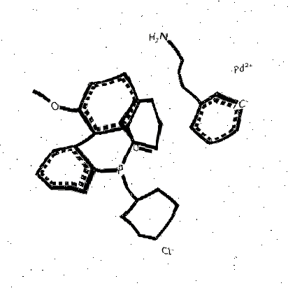 COc1cccc(OC)c1-c1ccccc1P(C1CCCCC1)C1CCCCC1.NCCc1c[c-]ccc1.[Cl-].[Pd+2]